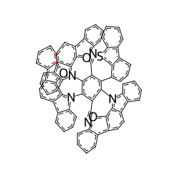 N#Cc1c(-c2cccc3c2sc2ccccc23)c(-n2c3ccccc3c3ccc4c5ccccc5oc4c32)c(C#N)c(-n2c3ccccc3c3ccc4c5ccccc5oc4c32)c1-n1c2ccccc2c2ccc3c4ccccc4oc3c21